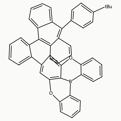 CC(C)(C)c1ccc(-c2c3ccccc3c(-c3ccccc3-c3cc4c5c(c3)Oc3ccccc3B5c3ccccc3O4)c3ccccc23)cc1